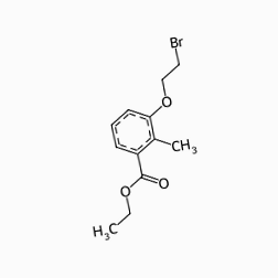 CCOC(=O)c1cccc(OCCBr)c1C